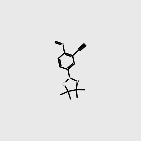 C#Cc1cc(B2OC(C)(C)C(C)(C)O2)ccc1N=C